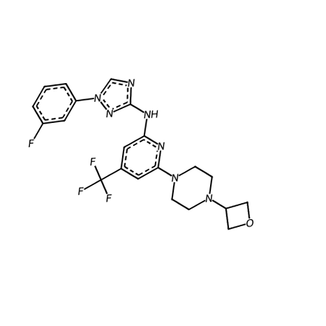 Fc1cccc(-n2cnc(Nc3cc(C(F)(F)F)cc(N4CCN(C5COC5)CC4)n3)n2)c1